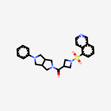 O=C(C1CN(S(=O)(=O)c2cccc3cnccc23)C1)N1CC2CN(c3ccccc3)CC2C1